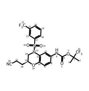 CC(C)(OC(=O)Nc1ccc2c(c1)N(S(=O)(=O)c1cccc(C(F)(F)F)c1)C[C@H](CCC#N)O2)C(F)(F)F